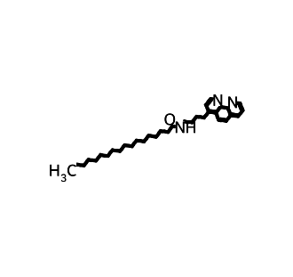 CCCCCCCCCCCCCCCCCC(=O)NCCCCc1ccnc2c1ccc1cccnc12